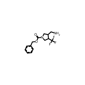 NCC1CN(C(=O)OCc2ccccc2)CC1C(F)(F)F